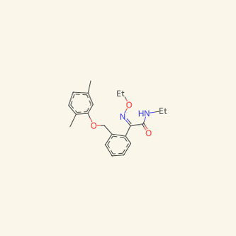 CCNC(=O)/C(=N\OCC)c1ccccc1COc1cc(C)ccc1C